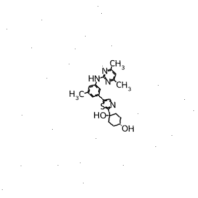 Cc1cc(Nc2nc(C)cc(C)n2)cc(-c2cnc([C@]3(O)CC[C@H](O)CC3)s2)c1